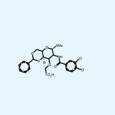 CS[C@@H]1OC2COC(c3ccccc3)O[C@@H]2C(OCC(=O)O)C1NC(=O)c1ccc(Cl)c(Cl)c1